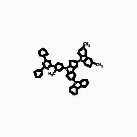 Cc1ccc2c(c1)c1cc(C)ccc1n2-c1ccc2c(c1)c1cc(-n3c4ccccc4c4ccccc43)ccc1n2-c1ccc(-c2cc(-c3ccccc3)nc(-c3ccccc3)n2)c(C)c1